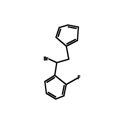 Fc1ccccc1C(Br)Cc1ccccc1